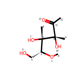 CO[C@H](CO)[C@](C)(O)[C@@](C)(O)C(C)=O